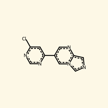 Clc1cc(-c2cnc3cncn3c2)ncn1